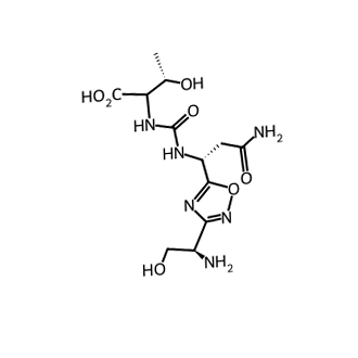 C[C@H](O)C(NC(=O)N[C@H](CC(N)=O)c1nc([C@@H](N)CO)no1)C(=O)O